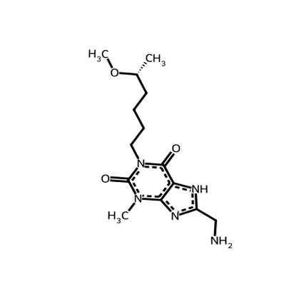 CO[C@H](C)CCCCn1c(=O)c2[nH]c(CN)nc2n(C)c1=O